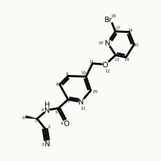 C[C@H](C#N)NC(=O)c1ccc(COc2cccc(Br)n2)cn1